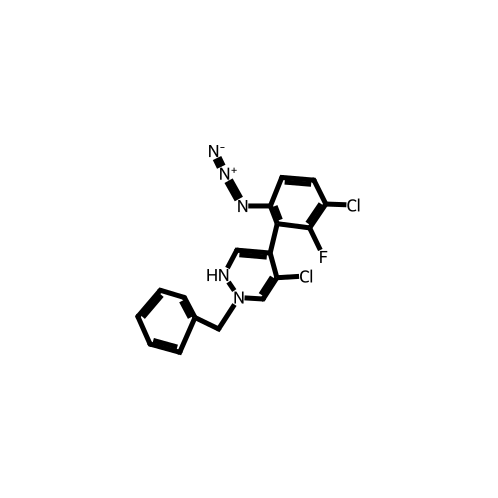 [N-]=[N+]=Nc1ccc(Cl)c(F)c1C1=CNN(Cc2ccccc2)C=C1Cl